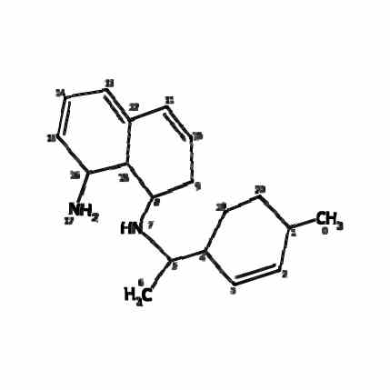 CC1C=CC(C(C)NC2CC=CC3=CC=CC(N)C32)CC1